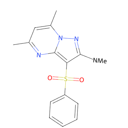 CNc1nn2c(C)cc(C)nc2c1S(=O)(=O)c1ccccc1